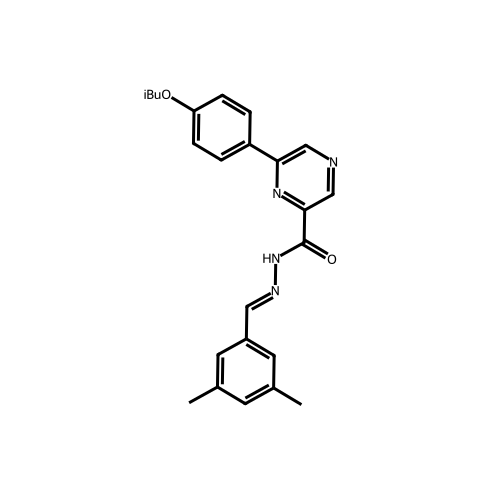 Cc1cc(C)cc(C=NNC(=O)c2cncc(-c3ccc(OCC(C)C)cc3)n2)c1